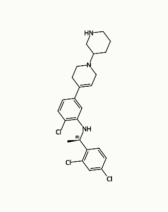 C[C@@H](Nc1cc(C2=CCN(C3CCCNC3)CC2)ccc1Cl)c1ccc(Cl)cc1Cl